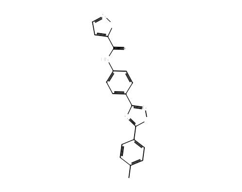 Cc1ccc(-c2nc(-c3ccc(NC(=O)c4ccno4)cc3)no2)cc1